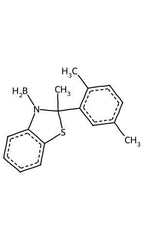 BN1c2ccccc2SC1(C)c1cc(C)ccc1C